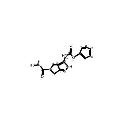 CCNC(=O)N1Cc2n[nH]c(NC(=O)Oc3ccccc3)c2C1